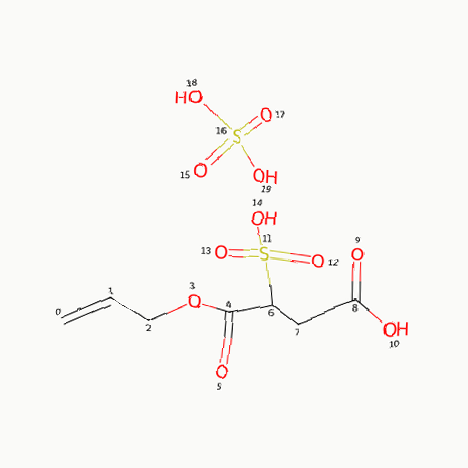 C=CCOC(=O)C(CC(=O)O)S(=O)(=O)O.O=S(=O)(O)O